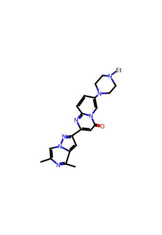 CCN1CCN(c2ccc3nc(-c4cc5c(C)nc(C)cn5n4)cc(=O)n3c2)CC1